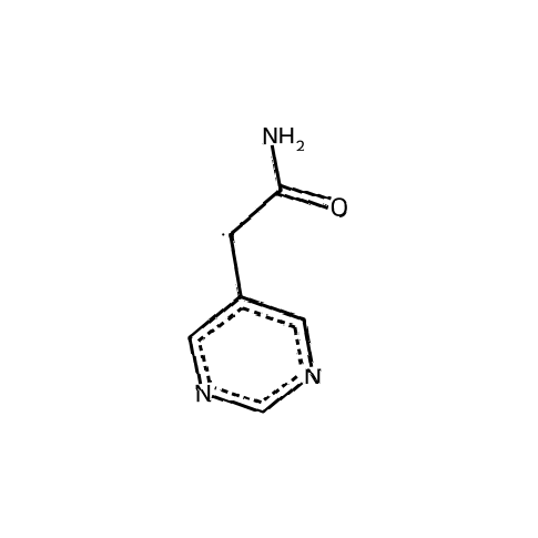 NC(=O)[CH]c1cncnc1